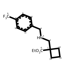 CCOC(=O)C1(CNCc2ccc(C(F)(F)F)cc2)CCC1